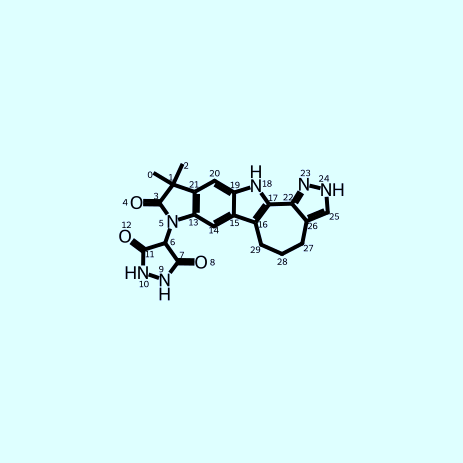 CC1(C)C(=O)N(C2C(=O)NNC2=O)c2cc3c4c([nH]c3cc21)-c1n[nH]cc1CCC4